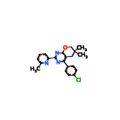 Cc1cccc(-c2nc3c(c(-c4ccc(Cl)cc4)n2)CC(C)(C)CO3)n1